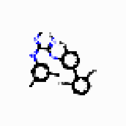 C/N=C(Nc1cc(C)cc(C)c1)\C(=N/C(C)C)Nc1cc(-c2c(C(C)C)cccc2C(C)C)ccc1C(C)(C)C